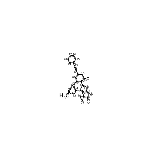 Cn1cnc(C2C(c3c(F)cc(C#Cc4ccccc4)cc3F)=NC3=NC(=O)C4(CC4)N32)c1